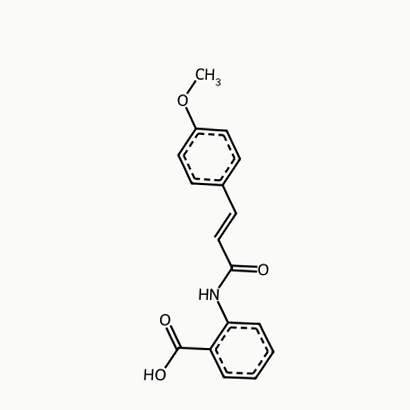 COc1ccc(C=CC(=O)Nc2ccccc2C(=O)O)cc1